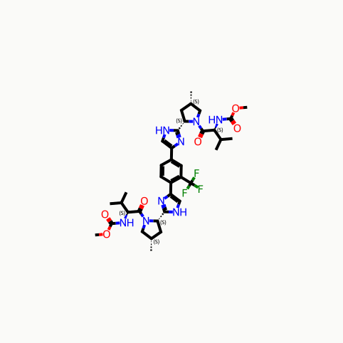 COC(=O)N[C@H](C(=O)N1C[C@@H](C)C[C@H]1c1nc(-c2ccc(-c3c[nH]c([C@@H]4C[C@H](C)CN4C(=O)[C@@H](NC(=O)OC)C(C)C)n3)c(C(F)(F)F)c2)c[nH]1)C(C)C